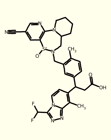 Cc1ccc(C(CC(=O)O)c2ccn3c(C(F)F)nnc3c2C)cc1CN1CC2CCCCN2c2ncc(C#N)cc2[S+]1[O-]